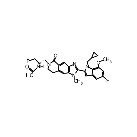 COc1cc(F)cc2cc(-c3nc4cc5c(cc4n3C)CCN(C[C@@H](CF)NC(=O)O)C5=O)n(CC3CC3)c12